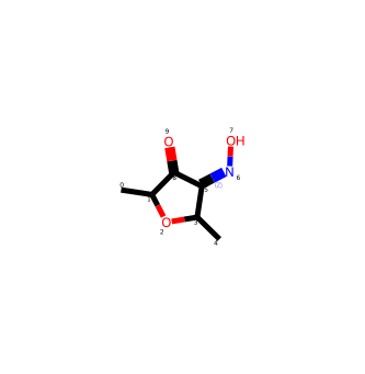 CC1OC(C)/C(=N/O)C1=O